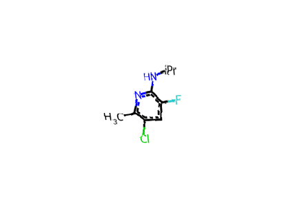 Cc1nc(NC(C)C)c(F)cc1Cl